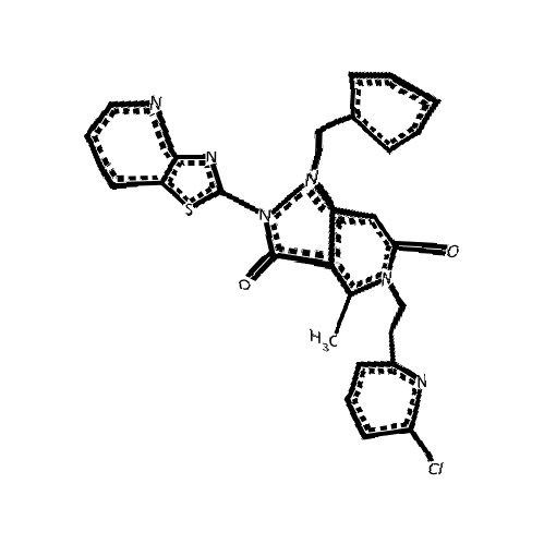 Cc1c2c(=O)n(-c3nc4ncccc4s3)n(Cc3ccccc3)c2cc(=O)n1Cc1cccc(Cl)n1